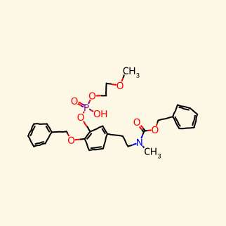 COCCOP(=O)(O)Oc1cc(CCN(C)C(=O)OCc2ccccc2)ccc1OCc1ccccc1